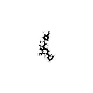 Cn1cc2c(c1C(=O)Nc1ccc(F)c(F)c1)C=CC(C1CCCCC1)NS2=N